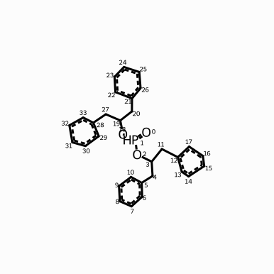 O=[PH](OC(Cc1ccccc1)Cc1ccccc1)OC(Cc1ccccc1)Cc1ccccc1